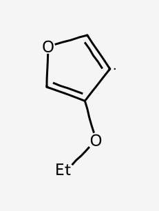 CCOc1[c]coc1